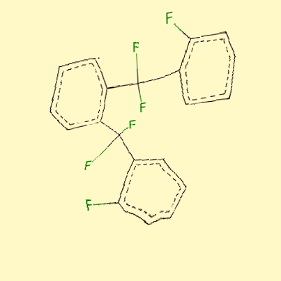 Fc1ccccc1C(F)(F)c1[c]cccc1C(F)(F)c1ccccc1F